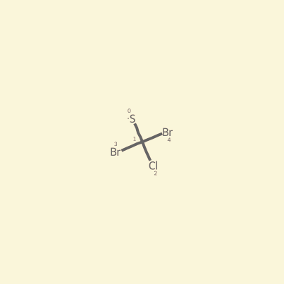 [S]C(Cl)(Br)Br